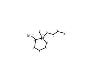 CCCC[N+]1(C)CCCCC1Br